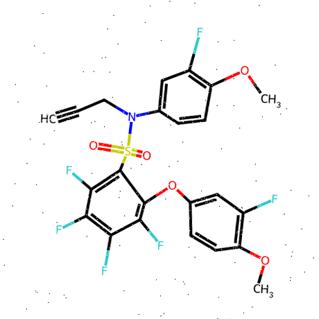 C#CCN(c1ccc(OC)c(F)c1)S(=O)(=O)c1c(F)c(F)c(F)c(F)c1Oc1ccc(OC)c(F)c1